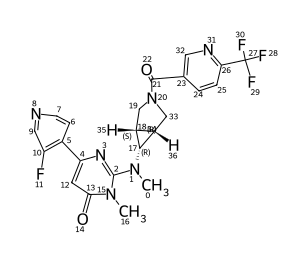 CN(c1nc(-c2ccncc2F)cc(=O)n1C)[C@@H]1[C@@H]2CN(C(=O)c3ccc(C(F)(F)F)nc3)C[C@@H]21